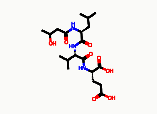 CC(C)C[C@H](NC(=O)CC(C)O)C(=O)N[C@H](C(=O)N[C@@H](CCC(=O)O)C(=O)O)C(C)C